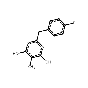 Cc1c(O)nc(Cc2ccc(F)cc2)nc1O